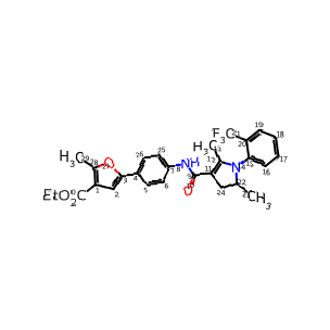 CCOC(=O)c1cc(-c2ccc(NC(=O)C3=C(C)N(c4ccccc4C(F)(F)F)C(C)C3)cc2)oc1C